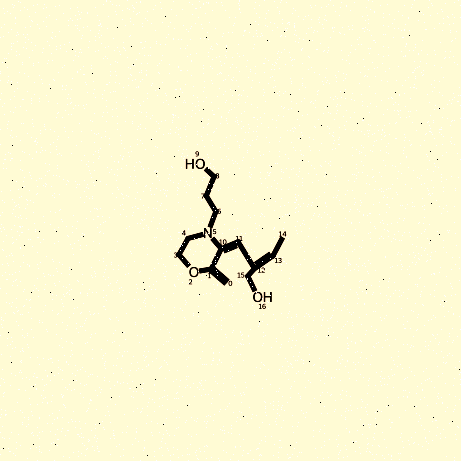 C=C1OCCN(CCCO)/C1=C/C(=C\C)CO